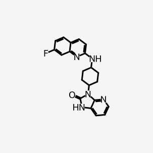 O=c1[nH]c2cccnc2n1C1CCC(Nc2ccc3ccc(F)cc3n2)CC1